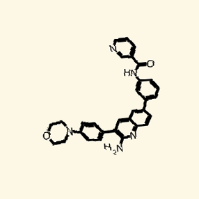 Nc1nc2ccc(-c3cccc(NC(=O)c4cccnc4)c3)cc2cc1-c1ccc(N2CCOCC2)cc1